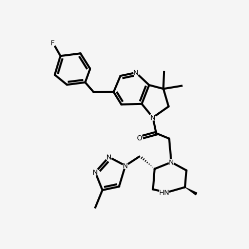 Cc1cn(C[C@H]2CN[C@H](C)CN2CC(=O)N2CC(C)(C)c3ncc(Cc4ccc(F)cc4)cc32)nn1